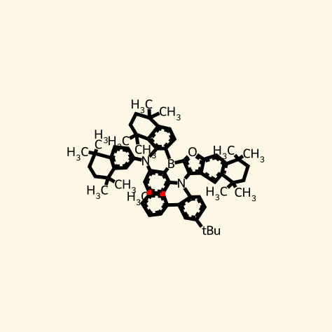 Cc1cc2c3c(c1)N(c1ccc(C(C)(C)C)cc1-c1ccccc1)c1c(oc4cc5c(cc14)C(C)(C)CCC5(C)C)B3c1ccc3c(c1N2c1ccc2c(c1)C(C)(C)CCC2(C)C)C(C)(C)CCC3(C)C